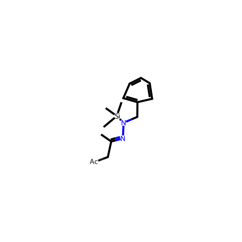 CC(=O)C/C(C)=N/N(Cc1ccccc1)[Si](C)(C)C